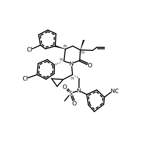 [C-]#[N+]c1cccc(N(C[C@H](C2CC2)N2C(=O)[C@@](C)(CC=C)C[C@H](c3cccc(Cl)c3)[C@H]2c2ccc(Cl)cc2)S(C)(=O)=O)c1